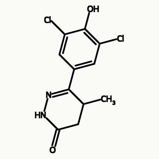 CC1CC(=O)NN=C1c1cc(Cl)c(O)c(Cl)c1